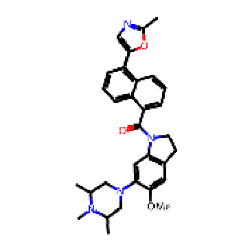 COc1cc2c(cc1N1CC(C)N(C)C(C)C1)N(C(=O)c1cccc3c(-c4cnc(C)o4)cccc13)CC2